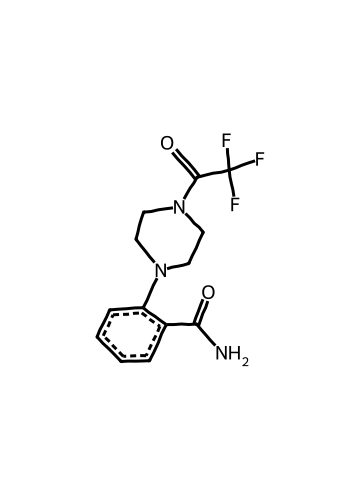 NC(=O)c1ccccc1N1CCN(C(=O)C(F)(F)F)CC1